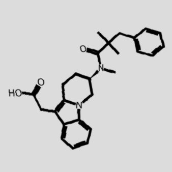 CN(C(=O)C(C)(C)Cc1ccccc1)[C@@H]1CCc2c(CC(=O)O)c3ccccc3n2C1